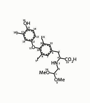 COC(CNC(Cc1cc(I)c(Oc2ccc(O)c(I)c2)c(I)c1)C(=O)O)OC